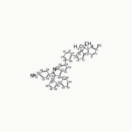 CC1(C)c2cc(F)ccc2-c2ccc(-c3cccc(-c4ccc5c(c4)nc(-c4ccc(C#N)cc4)c4c6ccccc6c6ccccc6c54)c3)cc21